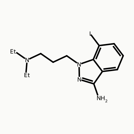 CCN(CC)CCCn1nc(N)c2cccc(I)c21